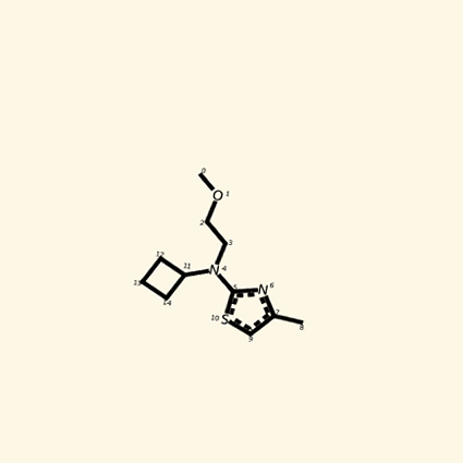 COCCN(c1nc(C)cs1)C1CCC1